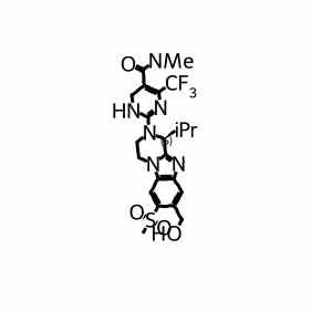 CNC(=O)C1=C(C(F)(F)F)N=C(N2CCn3c(nc4cc(CO)c(S(C)(=O)=O)cc43)[C@@H]2C(C)C)NC1